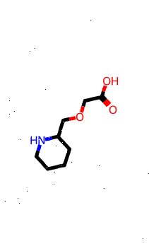 O=C(O)COCC1CCCCN1